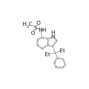 CCC(CC)(c1ccccc1)c1c[nH]c2c(NS(C)(=O)=O)cccc12